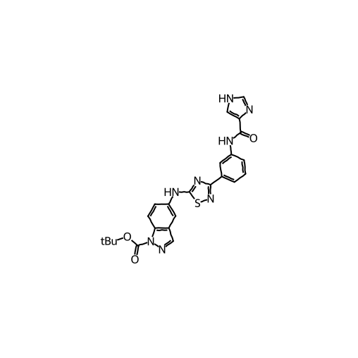 CC(C)(C)OC(=O)n1ncc2cc(Nc3nc(-c4cccc(NC(=O)c5c[nH]cn5)c4)ns3)ccc21